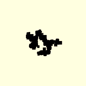 CC(C)(C)OC(=O)NC[C@H]1CC[C@H](C(=O)N(c2ccc(-c3nnc(Cl)[nH]3)cc2)[C@@H](Cc2cccc(Br)c2)C(N)=O)CC1.CC(C)N1CCC(NC(=O)c2cccc(-c3cccc(C[C@H](NC(=O)[C@H]4CC[C@H](CNC(=O)O)CC4)C(=O)Nc4ccc(-c5nnc(Cl)[nH]5)cc4)c3)c2)CC1